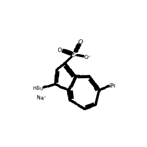 CCCCc1cc(S(=O)(=O)[O-])c2cc(C(C)C)cccc1-2.[Na+]